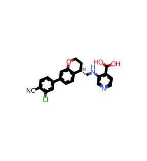 N#Cc1ccc(-c2ccc3c(c2)OCC[C@@H]3CNc2cnccc2C(O)O)cc1Cl